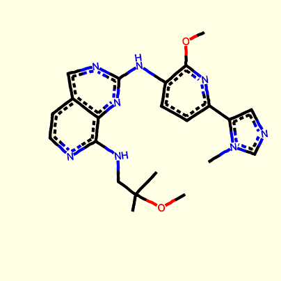 COc1nc(-c2cncn2C)ccc1Nc1ncc2ccnc(NCC(C)(C)OC)c2n1